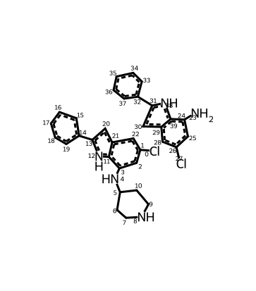 Clc1cc(NC2CCNCC2)c2[nH]c(-c3ccccc3)cc2c1.Nc1cc(Cl)cc2cc(-c3ccccc3)[nH]c12